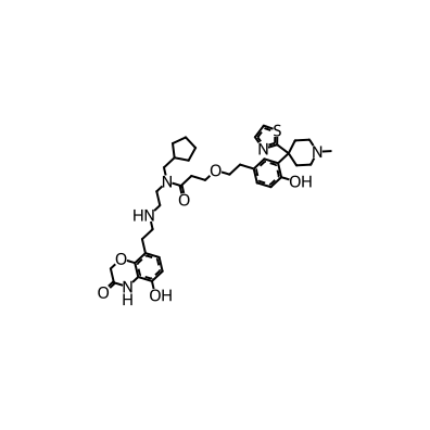 CN1CCC(c2nccs2)(c2cc(CCOCCC(=O)N(CCNCCc3ccc(O)c4c3OCC(=O)N4)CC3CCCC3)ccc2O)CC1